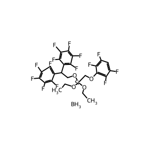 B.CCO[Si](COc1c(F)c(F)cc(F)c1F)(OCC)OCC(c1c(F)c(F)c(F)c(F)c1F)c1c(F)c(F)c(F)c(F)c1F